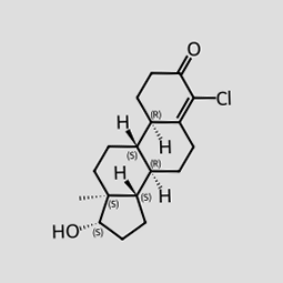 C[C@]12CC[C@H]3[C@@H](CCC4=C(Cl)C(=O)CC[C@@H]43)[C@@H]1CC[C@@H]2O